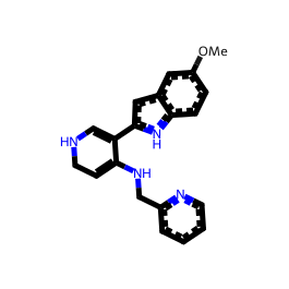 COc1ccc2[nH]c(C3=CNCC=C3NCc3ccccn3)cc2c1